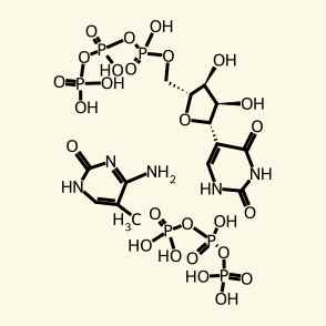 Cc1c[nH]c(=O)nc1N.O=P(O)(O)OP(=O)(O)OP(=O)(O)O.O=c1[nH]cc([C@@H]2O[C@H](COP(=O)(O)OP(=O)(O)OP(=O)(O)O)[C@@H](O)[C@H]2O)c(=O)[nH]1